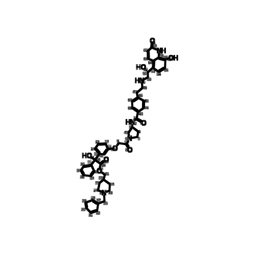 O=C(N[C@H]1CCN(C(=O)COc2cccc(C(O)(C(=O)OCC3CCN(Cc4ccccc4)CC3)c3ccccc3)c2)C1)c1ccc(CCNC[C@H](O)c2ccc(O)c3[nH]c(=O)ccc23)cc1